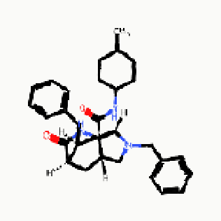 CC1CCC(NC(=O)[C@]23NC(=O)[C@@H]4C[C@H]2CN(Cc2ccccc2)[C@H]3[C@@H]4Cc2ccccc2)CC1